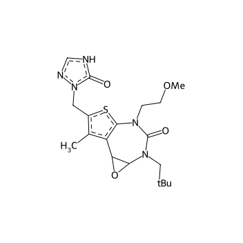 COCCN1C(=O)N(CC(C)(C)C)C2OC2c2c1sc(Cn1nc[nH]c1=O)c2C